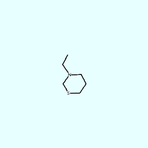 CCN1CCCSC1